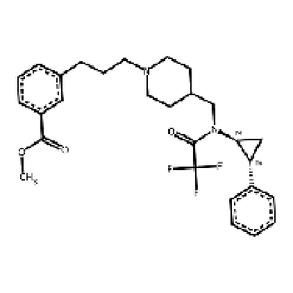 COC(=O)c1cccc(CCCN2CCC(CN(C(=O)C(F)(F)F)[C@H]3C[C@@H]3c3ccccc3)CC2)c1